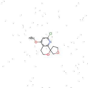 CCCCOc1cc(Cl)nc2c1CCOC21CCOC1